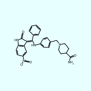 NC(=O)C1CCN(Cc2ccc(NC(=C3C(=O)Nc4ccc([N+](=O)[O-])cc43)c3ccccc3)cc2)CC1